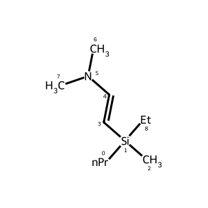 CCC[Si](C)(C=CN(C)C)CC